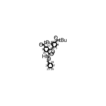 CC(C)(C)C(=O)c1ccc(C(=O)c2cc(C(=O)C(C)(C)C)ccc2C(=O)NOCc2ccccc2)cc1